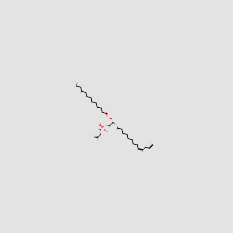 CCCC/C=C\C/C=C\CCCCCCCC(=O)O[C@H](COC(=O)CCCCCCCCCCCCCCCCCCCCC)COP(=O)(O)OC[C@H](N)C(=O)O